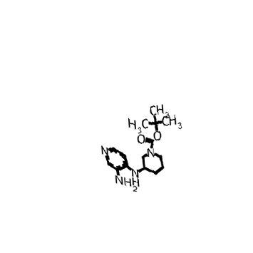 CC(C)(C)OC(=O)N1CCCC(Nc2ccncc2N)C1